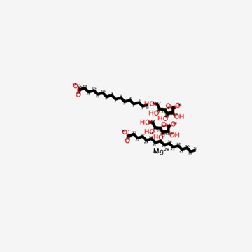 CCCCCCCCCCCCCCCC(=O)[O-].CCCCCCCCCCCCCCCC(=O)[O-].O=C1O[C@H]([C@@H](O)CO)C(O)=C1O.O=C1O[C@H]([C@@H](O)CO)C(O)=C1O.[Mg+2]